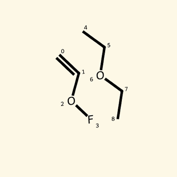 C=COF.CCOCC